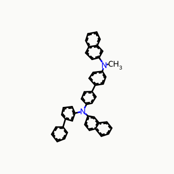 CN(c1ccc(-c2ccc(N(c3cccc(-c4ccccc4)c3)c3ccc4ccccc4c3)cc2)cc1)c1ccc2ccccc2c1